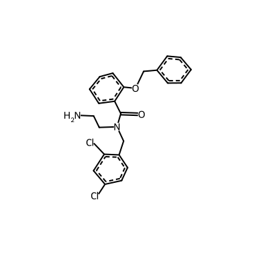 NCCN(Cc1ccc(Cl)cc1Cl)C(=O)c1ccccc1OCc1ccccc1